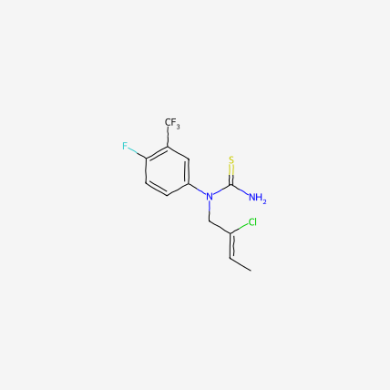 CC=C(Cl)CN(C(N)=S)c1ccc(F)c(C(F)(F)F)c1